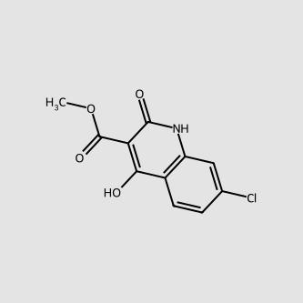 COC(=O)c1c(O)c2ccc(Cl)cc2[nH]c1=O